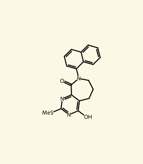 CSc1nc(O)c2c(n1)C(=O)N(c1cccc3ccccc13)CCC2